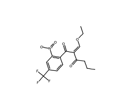 CCCC(=O)/C(=C/OCC)C(=O)c1ccc(C(F)(F)F)cc1[N+](=O)[O-]